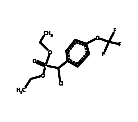 CCOP(=O)(OCC)C(Cl)c1ccc(OC(F)(F)F)cc1